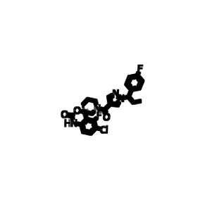 CCC(c1ccc(F)cc1)n1cc(C(=O)N2CCC[C@@]3(C2)OC(=O)Nc2ccc(Cl)c(F)c23)cn1